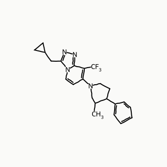 CC1CN(c2ccn3c(CC4CC4)nnc3c2C(F)(F)F)CCC1c1ccccc1